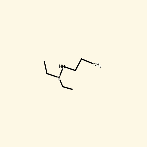 CCB(CC)NCCN